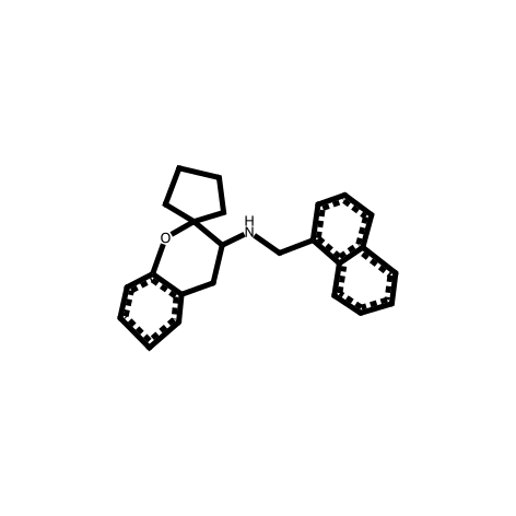 c1ccc2c(c1)CC(NCc1cccc3ccccc13)C1(CCCC1)O2